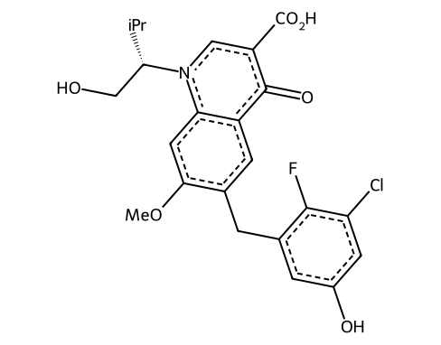 COc1cc2c(cc1Cc1cc(O)cc(Cl)c1F)c(=O)c(C(=O)O)cn2[C@H](CO)C(C)C